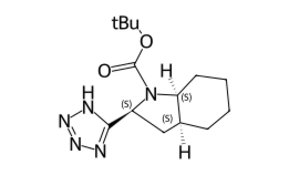 CC(C)(C)OC(=O)N1[C@H](c2nnn[nH]2)C[C@@H]2CCCC[C@@H]21